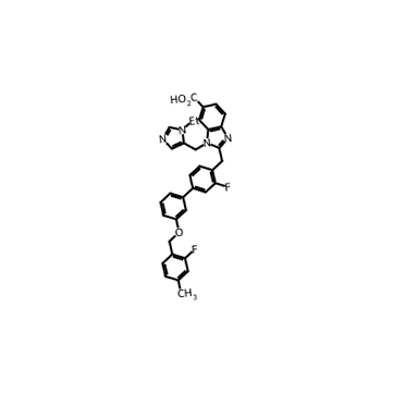 CCn1cncc1Cn1c(Cc2ccc(-c3cccc(OCc4ccc(C)cc4F)c3)cc2F)nc2ccc(C(=O)O)cc21